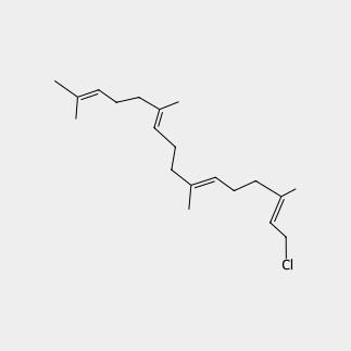 CC(C)=CCCC(C)=CCCC(C)=CCCC(C)=CCCl